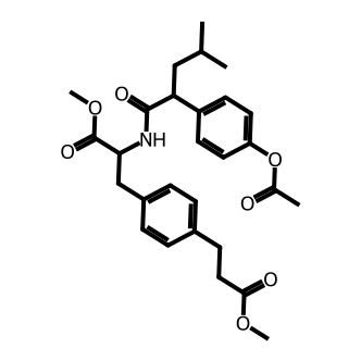 COC(=O)CCc1ccc(CC(NC(=O)C(CC(C)C)c2ccc(OC(C)=O)cc2)C(=O)OC)cc1